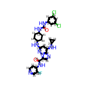 O=C(Nc1cc(Cl)cc(Cl)c1)NC1CCC(Nc2cc(NC3CC3)c3ncc(C(=O)Nc4ccncc4F)n3n2)CC1